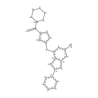 O=C(c1ccc(Cc2cc(Cl)cc3cc(-c4ccccc4)oc23)o1)N1CCCCC1